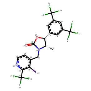 C[C@H]1[C@@H](c2cc(C(F)(F)F)cc(C(F)(F)F)c2)OC(=O)N1Cc1ccnc(C(F)(F)F)c1I